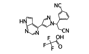 N#CCC(c1cccc(C#N)c1)n1cc(-c2ncnc3[nH]ccc23)cn1.O=C(O)C(F)(F)F